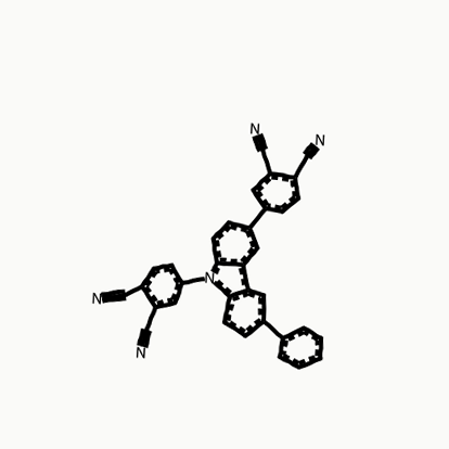 N#Cc1ccc(-c2ccc3c(c2)c2cc(-c4ccccc4)ccc2n3-c2ccc(C#N)c(C#N)c2)cc1C#N